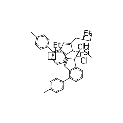 CCC1(CC2=Cc3c(-c4ccc(C)cc4)cccc3[CH]2[Zr]([Cl])([Cl])([CH]2C(CC3(CC)CCC3)=Cc3c(-c4ccc(C)cc4)cccc32)[SiH](C)C)CCC1